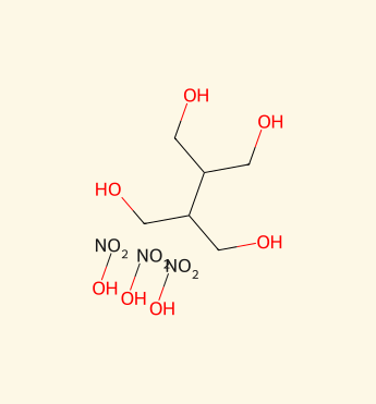 O=[N+]([O-])O.O=[N+]([O-])O.O=[N+]([O-])O.OCC(CO)C(CO)CO